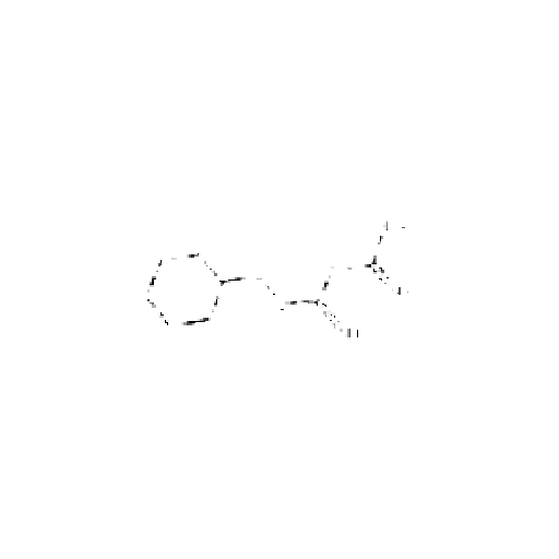 N=C(N)SC(=N)OOC1CCCCC1